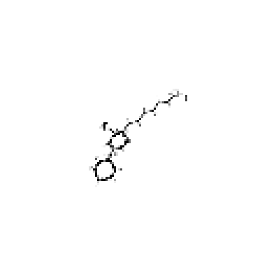 CCCCCCCc1ccc(-c2ccccc2)cc1F